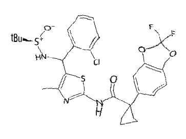 Cc1nc(NC(=O)C2(c3ccc4c(c3)OC(F)(F)O4)CC2)sc1C(N[S@+]([O-])C(C)(C)C)c1ccccc1Cl